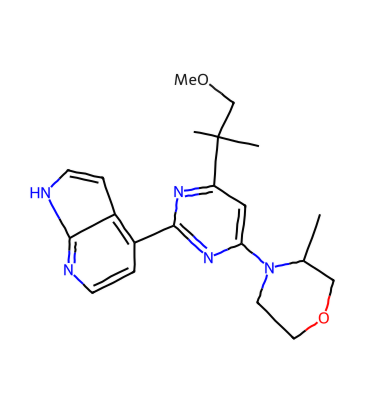 COCC(C)(C)c1cc(N2CCOCC2C)nc(-c2ccnc3[nH]ccc23)n1